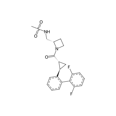 CS(=O)(=O)NC[C@@H]1CCN1C(=O)[C@@H]1C[C@H]1c1ccccc1-c1c(F)cccc1F